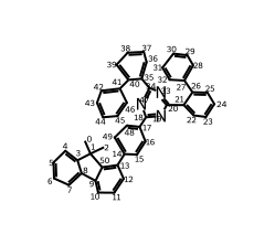 CC1(C)c2ccccc2-c2cccc(-c3ccc(-c4nc(-c5ccccc5-c5ccccc5)nc(-c5ccccc5-c5ccccc5)n4)cc3)c21